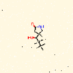 CC1(C(O)[Si](C)(C)C(C)(C)C)CNC(=O)C1